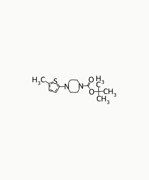 Cc1ccc(N2CCN(C(=O)OC(C)(C)C)CC2)s1